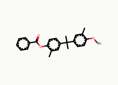 CCC(C)Oc1ccc(C(C)(C)c2ccc(OC(=O)c3ccccc3)c(C)c2)cc1C